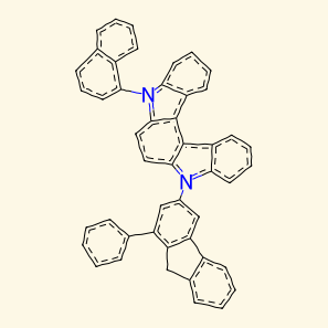 c1ccc(-c2cc(-n3c4ccccc4c4c5c6ccccc6n(-c6cccc7ccccc67)c5ccc43)cc3c2Cc2ccccc2-3)cc1